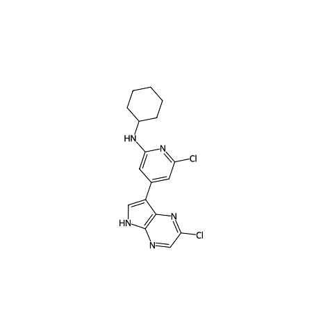 Clc1cc(-c2c[nH]c3ncc(Cl)nc23)cc(NC2CCCCC2)n1